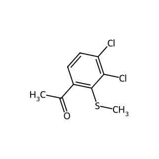 CSc1c(C(C)=O)ccc(Cl)c1Cl